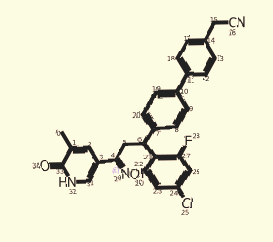 Cc1cc(/C(CC(c2ccc(-c3ccc(CC#N)cc3)cc2)c2ccc(Cl)cc2F)=N/O)c[nH]c1=O